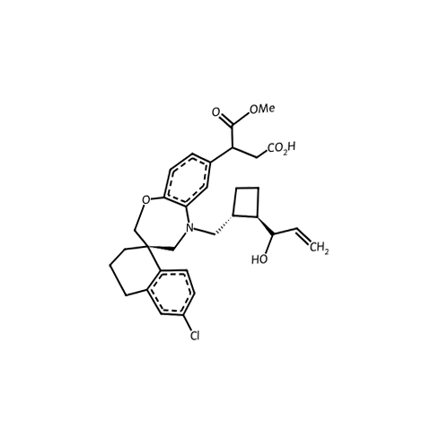 C=CC(O)[C@@H]1CC[C@H]1CN1C[C@@]2(CCCc3cc(Cl)ccc32)COc2ccc(C(CC(=O)O)C(=O)OC)cc21